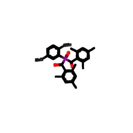 COc1ccc(OC)c(P(=O)(C(=O)c2c(C)cc(C)cc2C)C(=O)c2c(C)cc(C)cc2C)c1